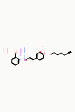 C#CCCCCCOc1ccc(/C=C/C(=O)Nc2ccccc2C(=O)O)cc1OC